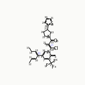 C=C1C(C(F)(F)F)=CC(/C(C=CC)=C/CC)=CN1/C(Cl)=C(\C)C(=O)N1CCC(c2cccs2)C1